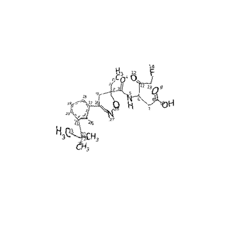 CCC1(C(=O)NC(CC(=O)O)C(=O)CF)CC(c2cccc(C(C)(C)C)c2)=NO1